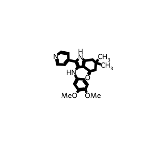 COc1ccc(Nc2c(-c3ccncc3)[nH]c3c2C(=O)CC(C)(C)C3)cc1OC